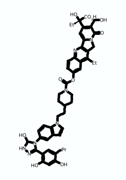 CCc1c2c(nc3ccc(OC(=O)N4CCC(CCn5ccc6cc(N7C(c8cc(C(C)C)c(O)cc8O)=NNC7O)ccc65)CC4)cc13)-c1cc([C@@](O)(CC)C(=O)O)c(CO)c(=O)n1C2